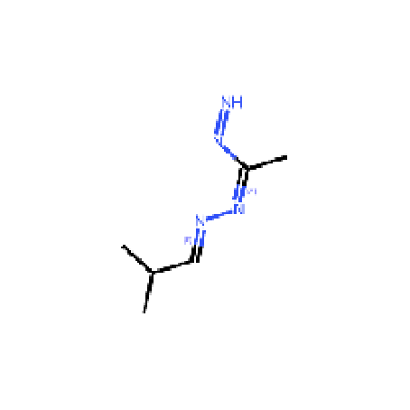 C/C(N=N)=N/N=C/C(C)C